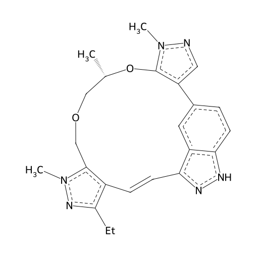 CCc1nn(C)c2c1/C=C/c1n[nH]c3ccc(cc13)-c1cnn(C)c1O[C@@H](C)COC2